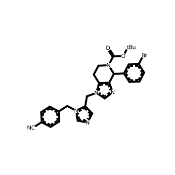 CC(C)(C)OC(=O)N1CCc2c(ncn2Cc2cncn2Cc2ccc(C#N)cc2)C1c1cccc(Br)c1